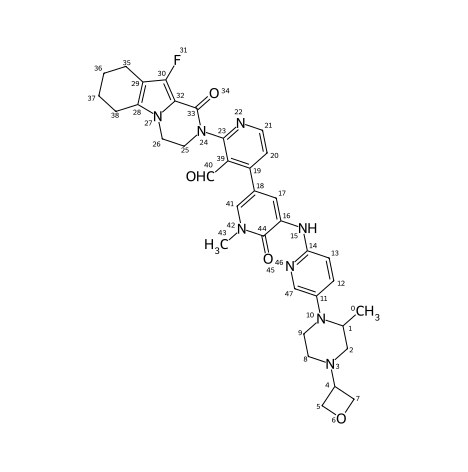 CC1CN(C2COC2)CCN1c1ccc(Nc2cc(-c3ccnc(N4CCn5c6c(c(F)c5C4=O)CCCC6)c3C=O)cn(C)c2=O)nc1